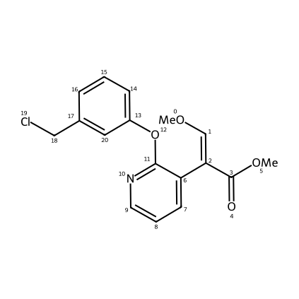 CO/C=C(/C(=O)OC)c1cccnc1Oc1cccc(CCl)c1